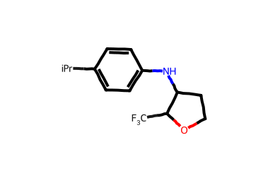 CC(C)c1ccc(NC2CCOC2C(F)(F)F)cc1